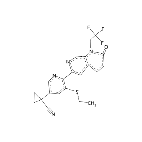 CCSc1cc(C2(C#N)CC2)cnc1-c1cc2ccc(=O)n(CC(F)(F)F)c2cn1